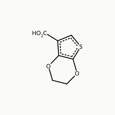 O=C(O)c1csc2c1OCCO2